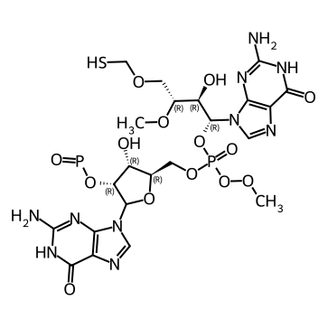 COOP(=O)(OC[C@H]1OC(n2cnc3c(=O)[nH]c(N)nc32)[C@H](OP=O)[C@@H]1O)O[C@H]([C@H](O)[C@@H](COCS)OC)n1cnc2c(=O)[nH]c(N)nc21